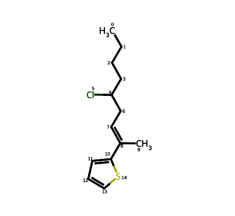 CCCCC(Cl)CC=C(C)c1cccs1